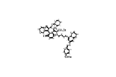 CCOC(=O)c1c(C)c2c(-c3c(COC4CCCCO4)nn4c3COCC4)c(Cl)ccc2n1CCCOc1cc(SCc2ccc(OC)cc2)cc2ccccc12